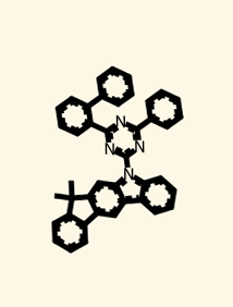 CC1(C)c2ccccc2-c2cc3c4ccccc4n(-c4nc(-c5ccccc5)nc(-c5ccccc5-c5ccccc5)n4)c3cc21